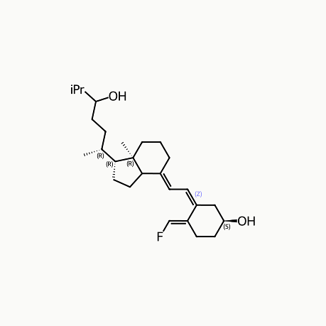 CC(C)C(O)CC[C@@H](C)[C@H]1CCC2C(=C/C=C3/C[C@@H](O)CCC3=CF)CCC[C@@]21C